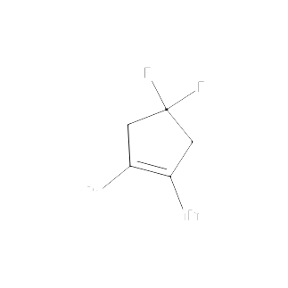 CC(C)C1=C(C(C)C)CC(F)(F)C1